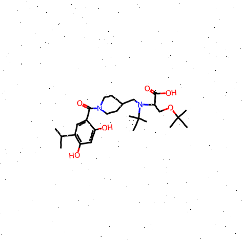 CC(C)c1cc(C(=O)N2CCC(CN(C(COC(C)(C)C)C(=O)O)C(C)(C)C)CC2)c(O)cc1O